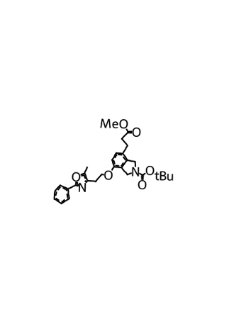 COC(=O)CCc1ccc(OCCc2nc(-c3ccccc3)oc2C)c2c1CN(C(=O)OC(C)(C)C)C2